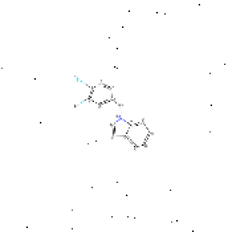 Fc1ccc(Cn2ccc3ccccc32)cc1F